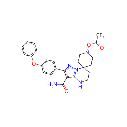 NC(=O)c1c(-c2ccc(Oc3ccccc3)cc2)nn2c1NCCC21CCN(OC(=O)C(F)(F)F)CC1